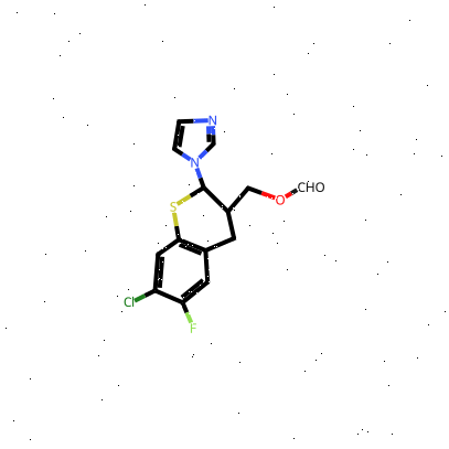 O=COCC1Cc2cc(F)c(Cl)cc2SC1n1ccnc1